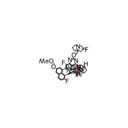 COCOc1cc(-c2nc(Cl)c3c(N4C[C@H]5CC[C@@H](C4)N5C(=O)O)nc(OC[C@@]45CCCN4C[C@H](F)C5)nc3c2F)c2c(C#C[Si](C(C)C)(C(C)C)C(C)C)c(F)ccc2c1